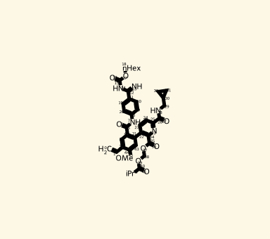 C=Cc1cc(C(=O)Nc2ccc(C(=N)NC(=O)OCCCCCC)cc2)c(-c2ccc(C(=O)NCC3CC3)nc2C(=O)OCOC(=O)C(C)C)cc1OC